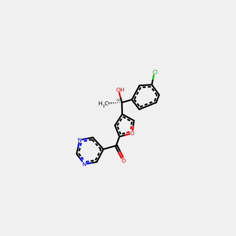 C[C@](O)(c1cccc(Cl)c1)c1coc(C(=O)c2cncnc2)c1